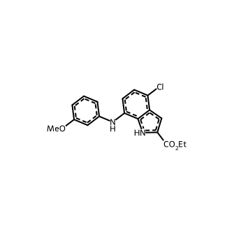 CCOC(=O)c1cc2c(Cl)ccc(Nc3cccc(OC)c3)c2[nH]1